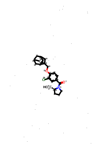 O=C(O)[C@@H]1CCCN1C(=O)c1ccc(OCC23CC4CC(CC2C4)C3)c(Cl)c1